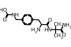 CC(C)(NC(=O)C(N)Cc1ccc(CNC(=O)O)cc1)C(N)=O